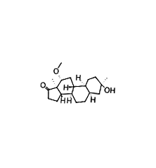 CO[C@@H]1C[C@H]2[C@@H](CC[C@@H]3C[C@](C)(O)CC[C@@H]32)[C@@H]2CCC(=O)[C@@]12C